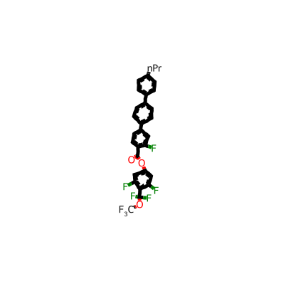 CCCc1ccc(-c2ccc(-c3ccc(C(=O)Oc4cc(F)c(C(F)(F)OC(F)(F)F)c(F)c4)c(F)c3)cc2)cc1